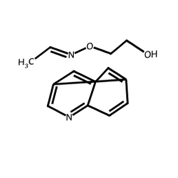 CC=NOCCO.c1cc2ncc3cc2cc1-3